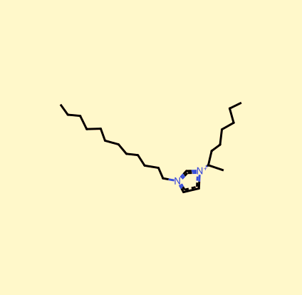 CCCCCCCCCCCCn1cc[n+](C(C)CCCCCC)c1